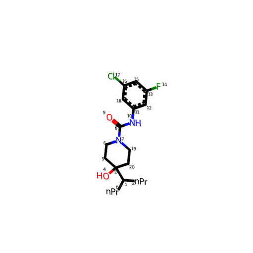 CCCC(CCC)C1(O)CCN(C(=O)Nc2cc(F)cc(Cl)c2)CC1